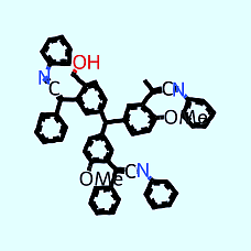 COc1ccc(C(c2ccc(CO)c(C(=C=Nc3ccccc3)c3ccccc3)c2)c2ccc(OC)c(C(=C=Nc3ccccc3)c3ccccc3)c2)cc1C(C)=C=Nc1ccccc1